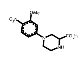 COc1cc(N2CCNC(C(=O)O)C2)ccc1[N+](=O)[O-]